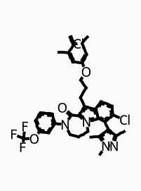 C=C(Cl)/C(C)=C\C(=C/CC)OCCCc1c2n(c3c(-c4c(C)nn(C)c4C)c(Cl)ccc13)CCCN(c1cccc(OC(F)(F)F)c1)C2=O